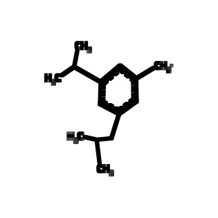 [CH2]c1cc(CC(C)C)cc(C(C)C)c1